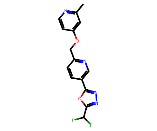 Cc1cc(OCc2ccc(-c3nnc(C(F)F)o3)cn2)ccn1